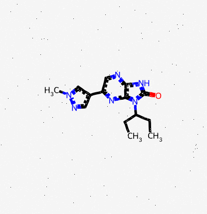 CCC(CC)n1c(=O)[nH]c2ncc(-c3cnn(C)c3)nc21